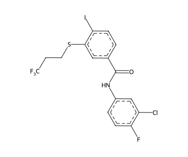 O=C(Nc1ccc(F)c(Cl)c1)c1ccc(I)c(SCCC(F)(F)F)c1